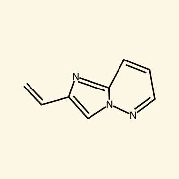 C=Cc1cn2ncccc2n1